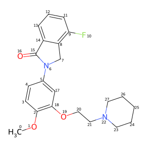 COc1ccc(N2Cc3c(F)cccc3C2=O)cc1OCCN1CCCCC1